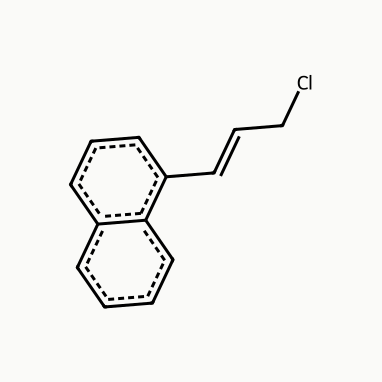 ClC/C=C/c1cccc2ccccc12